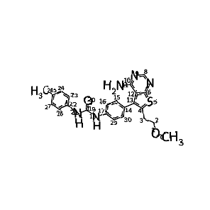 COCCc1sc2ncnc(N)c2c1-c1ccc(NC(=O)Nc2ccc(C)cc2)cc1